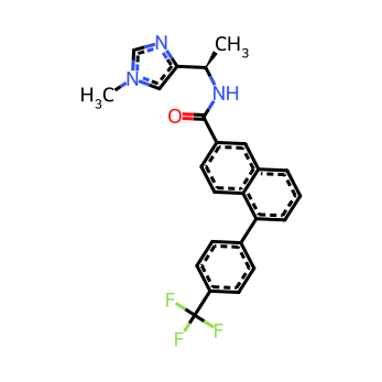 C[C@@H](NC(=O)c1ccc2c(-c3ccc(C(F)(F)F)cc3)cccc2c1)c1cn(C)cn1